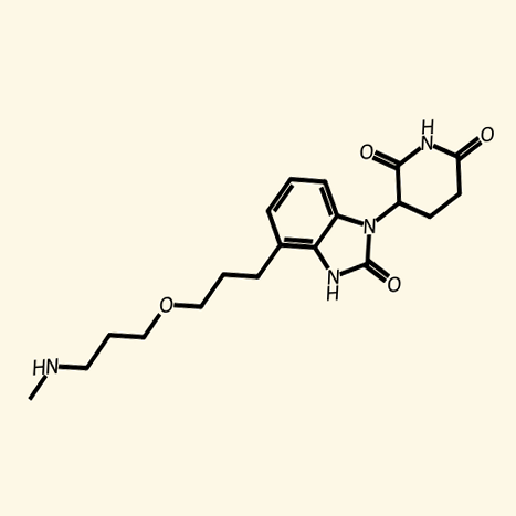 CNCCCOCCCc1cccc2c1[nH]c(=O)n2C1CCC(=O)NC1=O